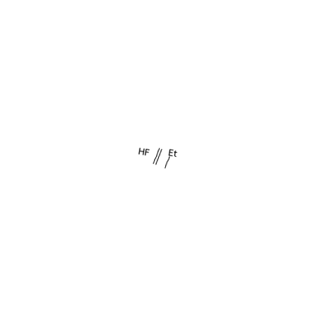 C=C.CCC.F